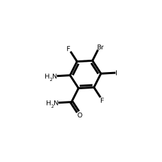 NC(=O)c1c(N)c(F)c(Br)c(I)c1F